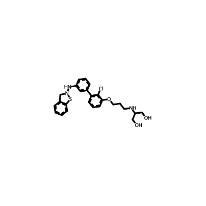 OCC(CO)NCCCOc1cccc(-c2cccc(NN3Cc4ccccc4S3)c2)c1Cl